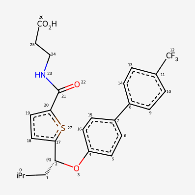 CC(C)C[C@@H](Oc1ccc(-c2ccc(C(F)(F)F)cc2)cc1)c1ccc(C(=O)NCCC(=O)O)s1